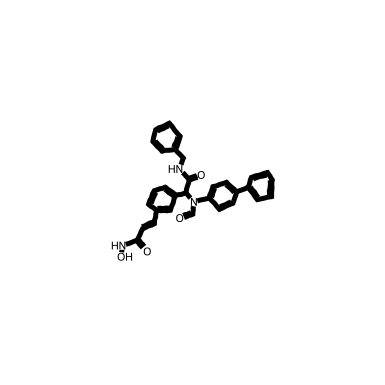 O=CN(c1ccc(-c2ccccc2)cc1)C(C(=O)NCc1ccccc1)c1cccc(/C=C/C(=O)NO)c1